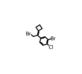 Clc1ccc(C(CBr)=C2CCC2)cc1Br